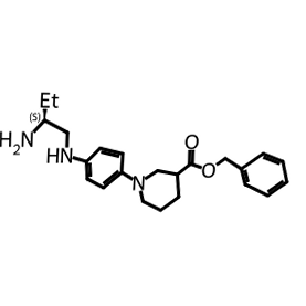 CC[C@H](N)CNc1ccc(N2CCCC(C(=O)OCc3ccccc3)C2)cc1